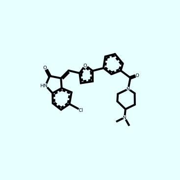 CN(C)C1CCN(C(=O)c2cccc(-c3ccc(/C=C4/C(=O)Nc5ccc(Cl)cc54)o3)c2)CC1